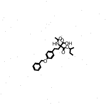 CCC(C)OC(=O)C(CCc1ccc(OCc2ccccc2)cc1)(NC(C)=O)C(=O)O